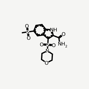 CS(=O)(=O)c1ccc2[nH]c(C(N)=O)c(S(=O)(=O)N3CCOCC3)c2c1